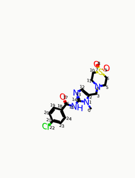 Cn1c(CN2CCS(=O)(=O)CC2)cnc1NC(=O)c1ccc(Cl)cc1